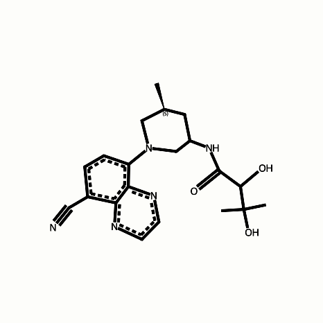 C[C@H]1CC(NC(=O)C(O)C(C)(C)O)CN(c2ccc(C#N)c3nccnc23)C1